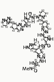 CNC(=O)c1cc(Nc2ncc3c(CNC(=O)c4cc(Nc5ncc6ccc(-c7c[n+](CNC(=O)c8cc(Nc9ncc%10ccc(-c%11cnc%12ncccn%11%12)cc%10n9)c[nH]8)c8n7CCCC8)cc6n5)c[nH]4)cc(-c4c[nH]nc4C)cc3n2)c[nH]1